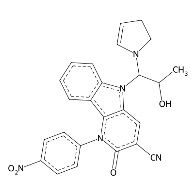 CC(O)C(N1C=CCC1)n1c2ccccc2c2c1cc(C#N)c(=O)n2-c1ccc([N+](=O)[O-])cc1